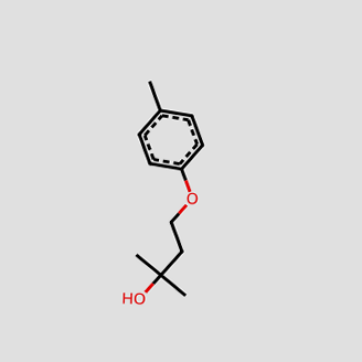 Cc1ccc(OCCC(C)(C)O)cc1